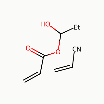 C=CC#N.C=CC(=O)OC(O)CC